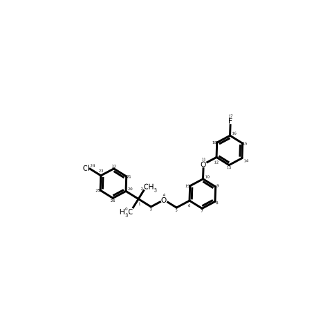 CC(C)(COCc1cccc(Oc2cccc(F)c2)c1)c1ccc(Cl)cc1